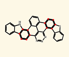 c1ccc(-c2cccc(-c3cccc4c3[nH]c3ccccc34)c2-c2c(-c3ccccc3)nnnc2-c2cccc3sc4ccccc4c23)cc1